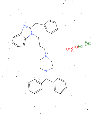 Cl.Cl.Cl.O.O.O.c1ccc(Cc2nc3ccccc3n2CCCN2CCN(C(c3ccccc3)c3ccccc3)CC2)cc1